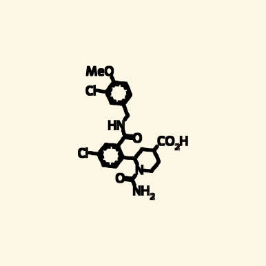 COc1ccc(CNC(=O)c2cc(Cl)ccc2C2CC(C(=O)O)CCN2C(N)=O)cc1Cl